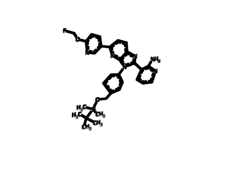 CC(C)(C)[Si](C)(C)OCc1ccc(-n2c(-c3cccnc3N)nc3ccc(-c4ccc(OCF)nc4)nc32)cc1